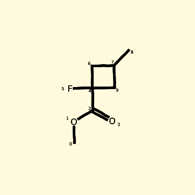 COC(=O)C1(F)CC(C)C1